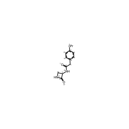 CCCc1ccc(CC(=O)NC2CNC2=O)cc1